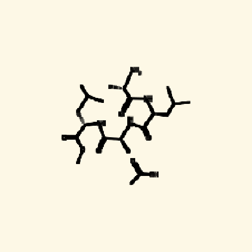 CC(=O)O.COC(=O)[C@H](CC(C)C)NC(=O)[C@H](C)NC(=O)[C@H](CC(C)C)NC(=O)[C@H](C)N